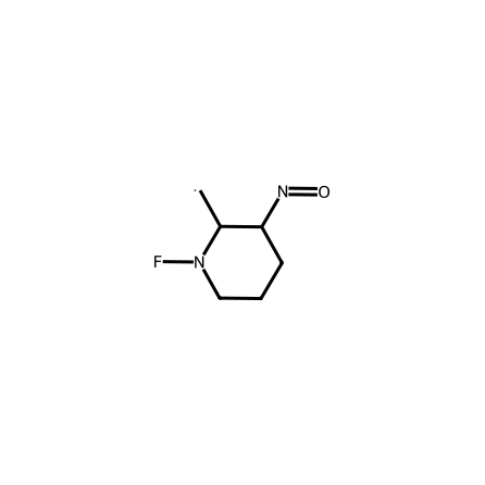 [CH2]C1C(N=O)CCCN1F